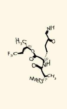 CO[C@@H](C)C(=O)N[C@@H](CCC(=O)C=N)C(=O)O[C@@H](C)CC(F)(F)F